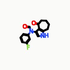 O=CN(c1cccc(F)c1)c1c[nH]c2c1C(=O)CCCC2